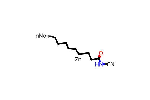 CCCCCCCCCCCCCCCCCC(=O)NC#N.[Zn]